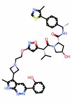 Cc1ncsc1-c1ccc([C@H](C)NC(=O)[C@@H]2C[C@@H](O)CN2C(=O)[C@@H](c2cc(OCCN3CC(c4c(C)[nH]c5nnc(-c6ccccc6O)cc45)C3)no2)C(C)C)cc1